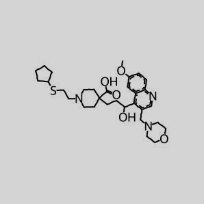 COc1ccc2ncc(CN3CCOCC3)c(C(O)CCC3(C(=O)O)CCN(CCSC4CCCC4)CC3)c2c1